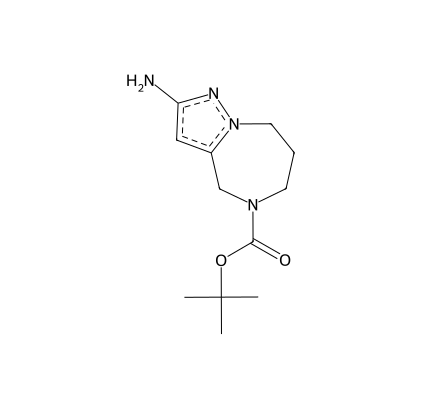 CC(C)(C)OC(=O)N1CCCn2nc(N)cc2C1